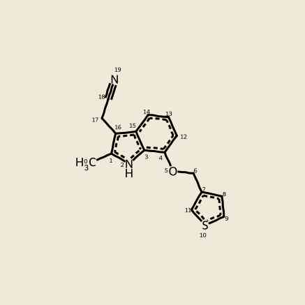 Cc1[nH]c2c(OCc3ccsc3)cccc2c1CC#N